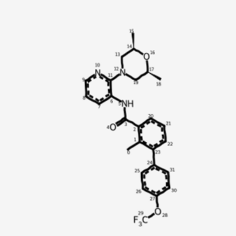 Cc1c(C(=O)Nc2cccnc2N2C[C@@H](C)O[C@@H](C)C2)cccc1-c1ccc(OC(F)(F)F)cc1